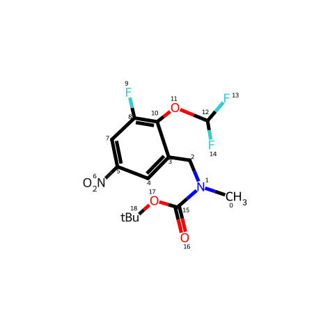 CN(Cc1cc([N+](=O)[O-])cc(F)c1OC(F)F)C(=O)OC(C)(C)C